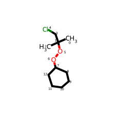 CC(C)(CCl)OOC1CCCCC1